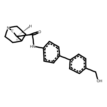 O=C(Nc1ccc(-c2ccc(CO)cc2)cc1)[C@@H]1CN2CCC1CC2